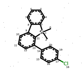 C[Si]1(C)c2ccccc2-c2cccc(-c3ccc(Cl)cc3)c21